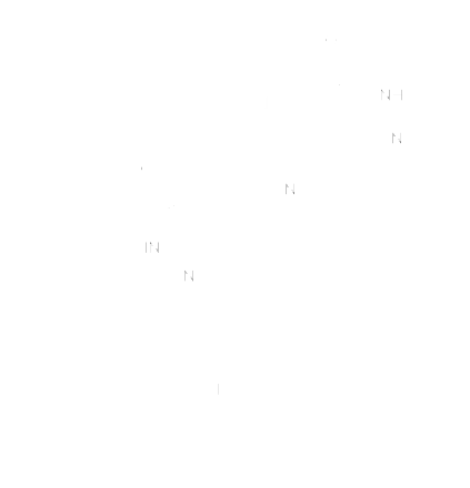 CC(F)c1ccccc1Cn1[nH]c(=O)c2c1CCN(c1cn[nH]c(=O)c1Cl)C2